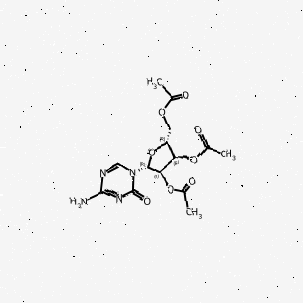 CC(=O)OC[C@H]1O[C@@H](n2cnc(N)nc2=O)[C@H](OC(C)=O)[C@@H]1OC(C)=O